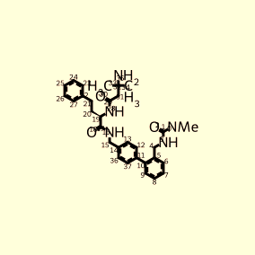 CNC(=O)NCc1ccccc1-c1ccc(CNC(=O)[C@@H](CCc2ccccc2)NC(=O)CC(C)(C)N)cc1